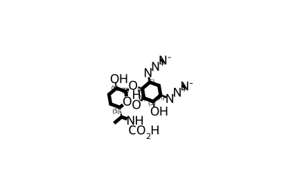 CC(NC(=O)O)[C@@H]1CC[C@H](O)[C@@H](O[C@H]2[C@H](O)[C@@H](O)[C@H](N=[N+]=[N-])C[C@@H]2N=[N+]=[N-])O1